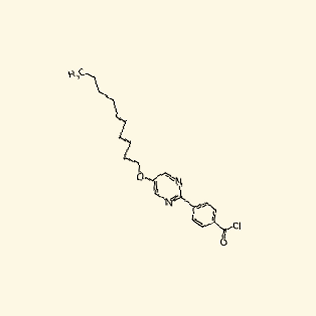 CCCCCCCCCCOc1cnc(-c2ccc(C(=O)Cl)cc2)nc1